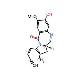 C#C/C=C\C1=C(C)C[C@H]2C=Nc3cc(O)c(OC)cc3C(=O)N12